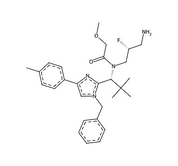 COCC(=O)N(C[C@H](F)CN)[C@@H](c1nc(-c2ccc(C)cc2)cn1Cc1ccccc1)C(C)(C)C